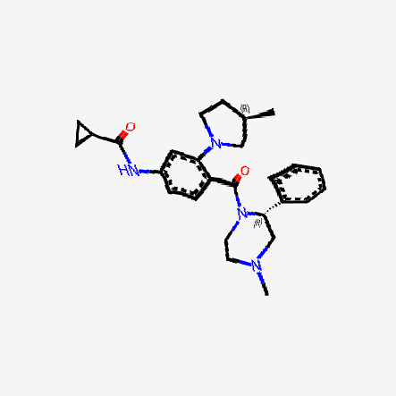 C[C@@H]1CCN(c2cc(NC(=O)C3CC3)ccc2C(=O)N2CCN(C)C[C@H]2c2ccccc2)C1